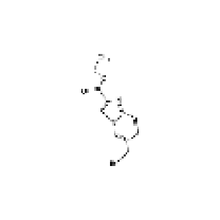 CCOC(=O)c1cn2cc(CBr)ccc2n1